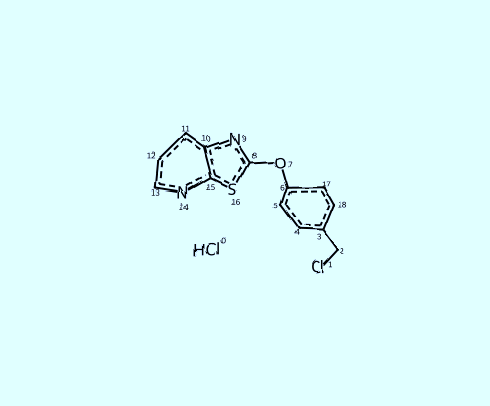 Cl.ClCc1ccc(Oc2nc3cccnc3s2)cc1